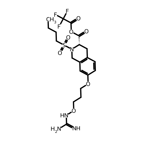 CCCCS(=O)(=O)N1Cc2cc(OCCCONC(=N)N)ccc2C[C@H]1C(=O)OC(=O)C(F)(F)F